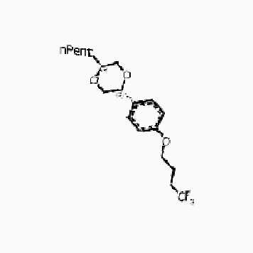 CCCCC[C@H]1CO[C@H](c2ccc(OCCCC(F)(F)F)cc2)CO1